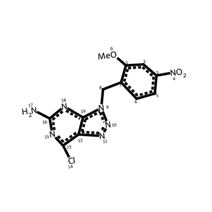 COc1cc([N+](=O)[O-])ccc1Cn1nnc2c(Cl)nc(N)nc21